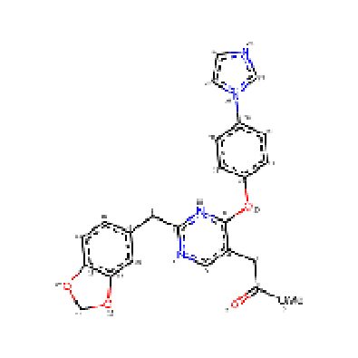 COC(=O)Cc1cnc(Cc2ccc3c(c2)OCO3)nc1Oc1ccc(-n2ccnc2)cc1